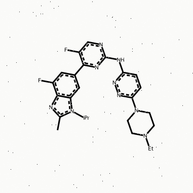 CCN1CCN(c2ccc(Nc3ncc(F)c(-c4cc(F)c5nc(C)n(C(C)C)c5c4)n3)nn2)CC1